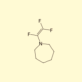 FC(F)=C(F)N1CCCCCC1